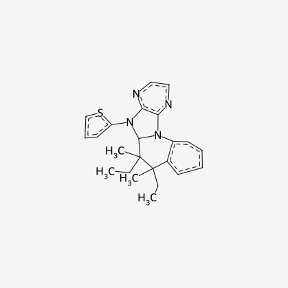 CCC1(C)c2ccccc2N2c3nccnc3N(c3cccs3)C2C1(C)CC